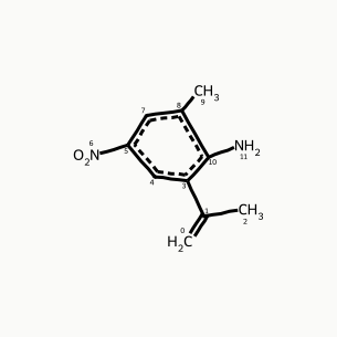 C=C(C)c1cc([N+](=O)[O-])cc(C)c1N